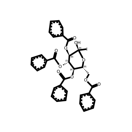 O=C(OC[C@H]1O[C@@](O)(I)[C@H](OC(=O)c2ccccc2)[C@@H](OC(=O)c2ccccc2)[C@@H]1OC(=O)c1ccccc1)c1ccccc1